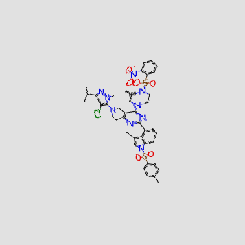 Cc1ccc(S(=O)(=O)n2cc(C)c3c(-c4nc5c(c(N6CCN(S(=O)(=O)c7ccccc7[N+](=O)[O-])[C@H](C)C6)n4)CN(c4c(Cl)c(C(C)C)nn4C)CC5)cccc32)cc1